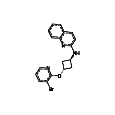 Brc1cccnc1O[C@H]1C[C@H](Nc2ccc3ccccc3n2)C1